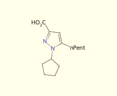 CCCCCc1cc(C(=O)O)nn1C1CCCC1